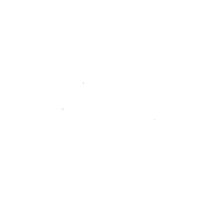 CCCCCCCCCCCCCC=CC(O)C(N)C[O]